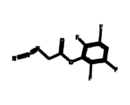 [N-]=[N+]=NCC(=O)Oc1c(F)c(F)cc(F)c1F